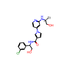 CC[C@@H](CO)Nc1cc(-n2ccc(C(=O)NC(CO)c3cccc(Cl)c3)c2)ccn1